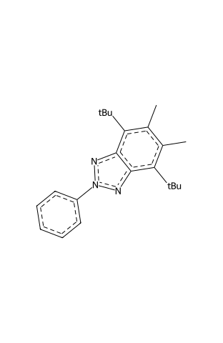 Cc1c(C)c(C(C)(C)C)c2nn(-c3ccccc3)nc2c1C(C)(C)C